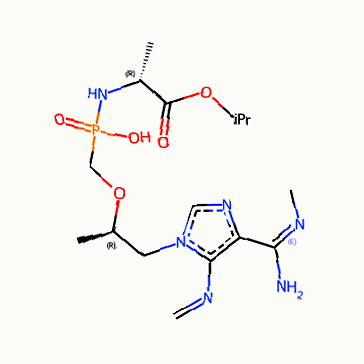 C=Nc1c(/C(N)=N\C)ncn1C[C@@H](C)OCP(=O)(O)N[C@H](C)C(=O)OC(C)C